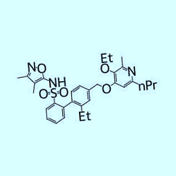 CCCc1cc(OCc2ccc(-c3ccccc3S(=O)(=O)Nc3onc(C)c3C)c(CC)c2)c(OCC)c(C)n1